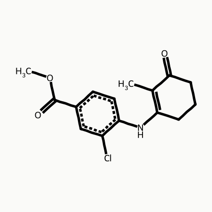 COC(=O)c1ccc(NC2=C(C)C(=O)CCC2)c(Cl)c1